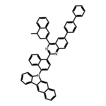 CC1CC(c2nc(-c3ccc(-n4c5ccccc5c5cc6ccccc6cc54)c4ccccc34)nc3ccc(-c4ccc(-c5ccccc5)cc4)cc23)=Cc2ccccc21